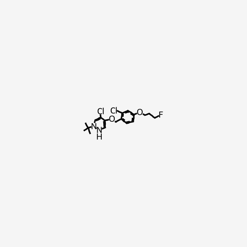 CC(C)(C)N1C=C(Cl)C(OCc2ccc(OCCCF)cc2Cl)=CN1